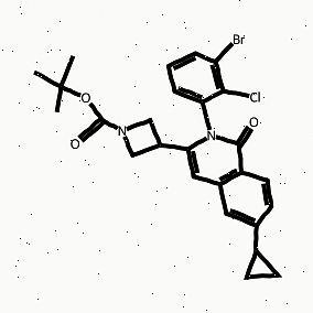 CC(C)(C)OC(=O)N1CC(c2cc3cc(C4CC4)ccc3c(=O)n2-c2cccc(Br)c2Cl)C1